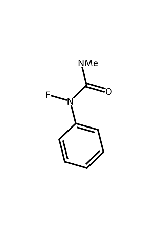 CNC(=O)N(F)c1ccccc1